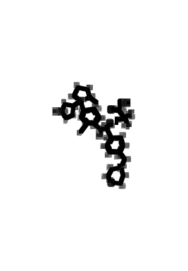 Cc1cc([N+]2(C3CCNC3)CCCC2C)ccc1NC(=O)c1ccc(CN2CCOCC2)cc1.O=C(O)C(F)(F)F